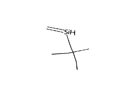 C=[SiH]C(C)(C)C